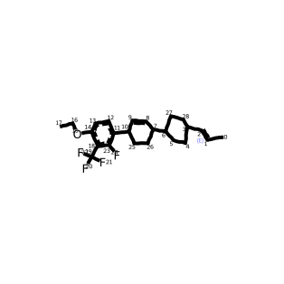 C/C=C/C1CCC(C2C=CC(c3ccc(OCC)c(C(F)(F)F)c3F)CC2)CC1